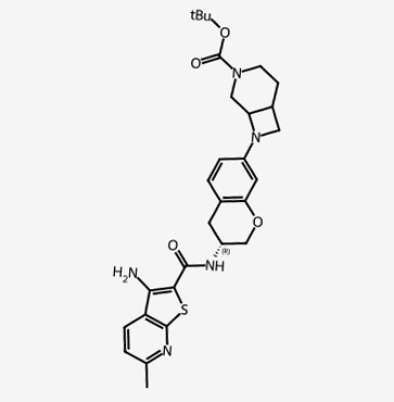 Cc1ccc2c(N)c(C(=O)N[C@H]3COc4cc(N5CC6CCN(C(=O)OC(C)(C)C)CC65)ccc4C3)sc2n1